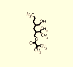 C=C(C)C(=O)OCC(CC(CO)CCC)C(C)C